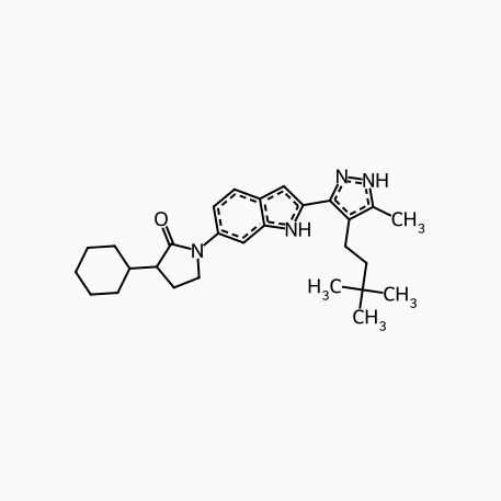 Cc1[nH]nc(-c2cc3ccc(N4CCC(C5CCCCC5)C4=O)cc3[nH]2)c1CCC(C)(C)C